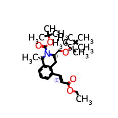 CCOC(=O)/C=C/c1cccc2c1C[C@H](CO[Si](C)(C)C(C)(C)C)N(C(=O)OC(C)(C)C)[C@H]2C